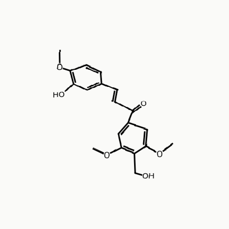 COc1ccc(/C=C/C(=O)c2cc(OC)c(CO)c(OC)c2)cc1O